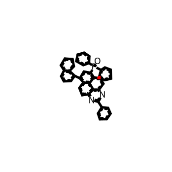 O=P(c1ccccc1)(c1ccccc1)c1cc(-c2cccc3ccccc23)c2ccc3nc(-c4ccccc4)nc4ccc1c2c34